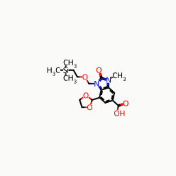 Cn1c(=O)n(COCC[Si](C)(C)C)c2c(C3OCCO3)cc(C(=O)O)cc21